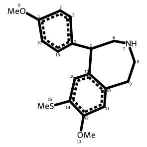 COc1ccc(C2CNCCc3cc(OC)c(SC)cc32)cc1